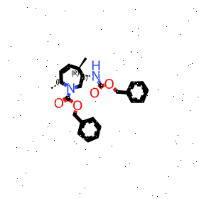 C[C@@H]1C=C[C@@H](C)N(C(=O)OCc2ccccc2)C[C@H]1NC(=O)OCc1ccccc1